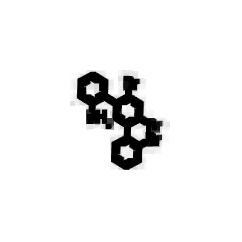 Bc1ccccc1-c1cc(-c2ccccc2Br)c(Br)cc1Br